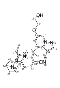 C=N/C(=C\C=C(/C)c1cc(OCCO)cn2ncc(C#N)c12)N1CC2CC(C1)N2Cc1ccc(Cl)cn1